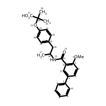 COc1ccc(-c2ccccc2)cc1C(=O)NC(C)Cc1ccc(OC(C)(C)C(=O)O)cc1